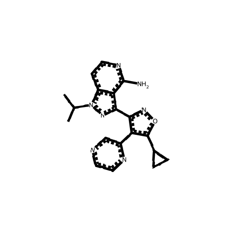 CC(C)n1nc(-c2noc(C3CC3)c2-c2cnccn2)c2c(N)nccc21